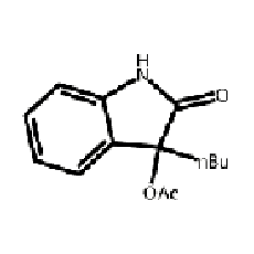 CCCCC1(OC(C)=O)C(=O)Nc2ccccc21